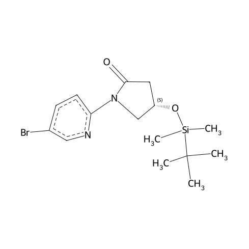 CC(C)(C)[Si](C)(C)O[C@H]1CC(=O)N(c2ccc(Br)cn2)C1